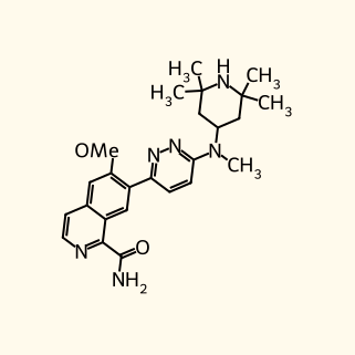 COc1cc2ccnc(C(N)=O)c2cc1-c1ccc(N(C)C2CC(C)(C)NC(C)(C)C2)nn1